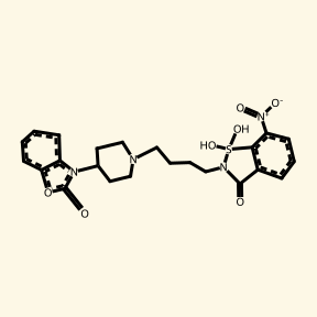 O=C1c2cccc([N+](=O)[O-])c2S(O)(O)N1CCCCN1CCC(n2c(=O)oc3ccccc32)CC1